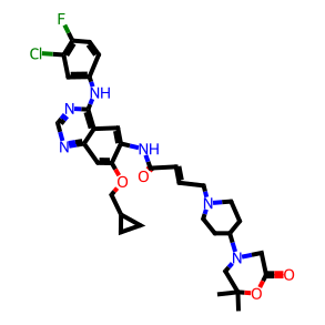 CC1(C)CN(C2CCN(C/C=C/C(=O)Nc3cc4c(Nc5ccc(F)c(Cl)c5)ncnc4cc3OCC3CC3)CC2)CC(=O)O1